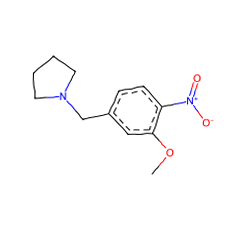 COc1cc(CN2CCCC2)ccc1[N+](=O)[O-]